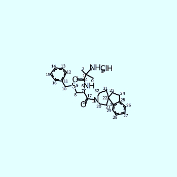 CC(C)(N)C(=O)N[C@H](CSCc1ccccc1)C(=O)N1CCC2(CCc3ccccc32)CC1.Cl